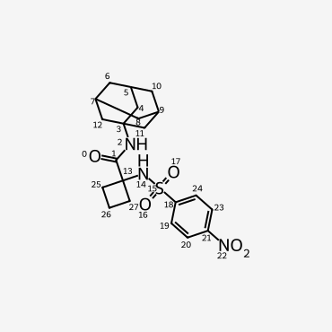 O=C(NC12CC3CC(CC(C3)C1)C2)C1(NS(=O)(=O)c2ccc([N+](=O)[O-])cc2)CCC1